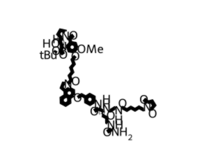 COc1cc2c(cc1OCCCCCC(=O)N1CCc3c1cc(OCc1ccc(NC(=O)[C@H](CCCNC(N)=O)NC(=O)CNC(=O)CCCCCN4C(=O)C=CC4=O)cc1)c1ccccc31)N(C(=O)OC(C)(C)C)[C@@H](O)[C@@H]1CCCN1C2=O